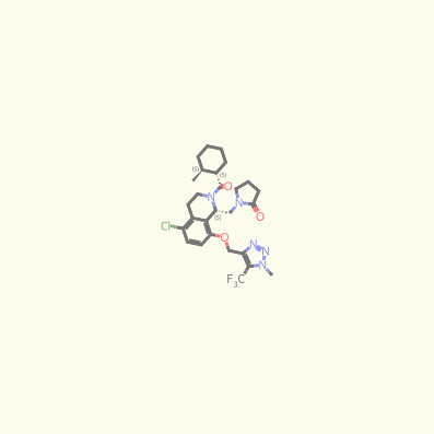 C[C@H]1CCCC[C@@H]1C(=O)N1CCc2c(Cl)ccc(OCc3nnn(C)c3C(F)(F)F)c2[C@H]1CN1CCCC1=O